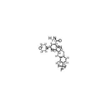 Cc1nn2c(C(N)=O)cc(N3CCOCC3)nc2c1Cc1cccc(C(F)(F)F)c1C